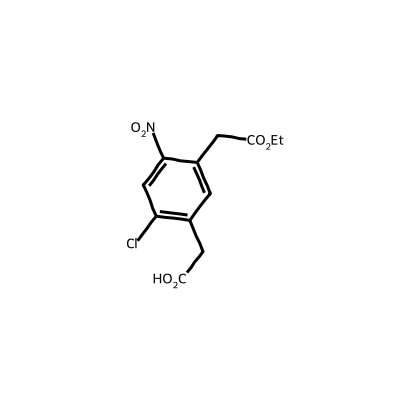 CCOC(=O)Cc1cc(CC(=O)O)c(Cl)cc1[N+](=O)[O-]